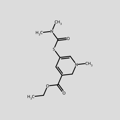 CCOC(=O)C1=CC(SC(=O)N(C)C)=CN(C)C1